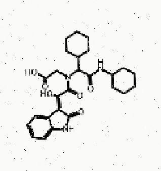 O=C(O)CN(C(=O)C(O)=C1C(=O)Nc2ccccc21)C(C(=O)NC1CCCCC1)C1CCCCC1